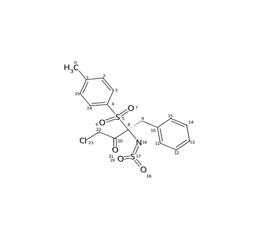 Cc1ccc(S(=O)(=O)[C@@](Cc2ccccc2)(N=S(=O)=O)C(=O)[CH]Cl)cc1